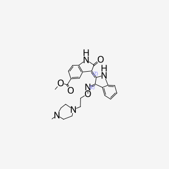 COC(=O)c1ccc2c(c1)/C(=C1/Nc3ccccc3/C1=N\OCCN1CCN(C)CC1)C(=O)N2